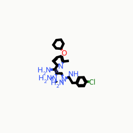 Cc1nc(/C(N)=C(\CN(N)C(=N)Cc2ccc(Cl)cc2)N(C)N)ccc1OC1CCCCC1